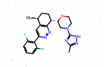 Cc1n[nH]c(N2CCO[C@@H](C3CC[C@H](C(C)(C)C)c4cc(-c5c(F)cccc5F)nnc43)C2)n1